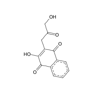 O=C(CO)CC1=C(O)C(=O)c2ccccc2C1=O